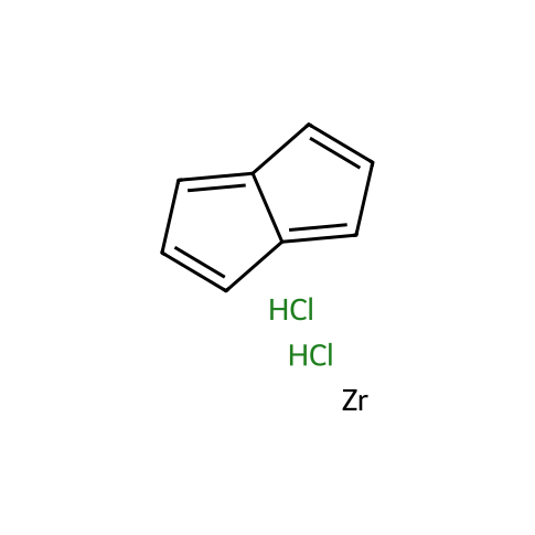 C1=CC2=CC=CC2=C1.Cl.Cl.[Zr]